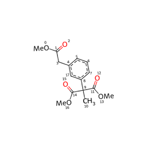 COC(=O)Cc1cccc(C(C)(C(=O)OC)C(=O)OC)c1